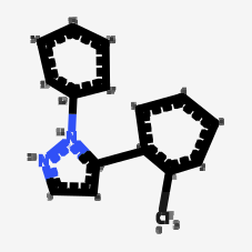 FC(F)(F)c1cc[c]cc1-c1ccnn1-c1ccccc1